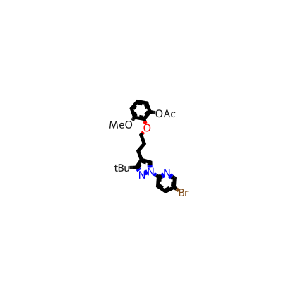 COc1cccc(OC(C)=O)c1OCCCc1cn(-c2ccc(Br)cn2)nc1C(C)(C)C